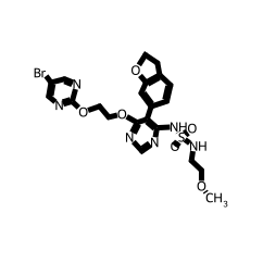 COCCNS(=O)(=O)Nc1ncnc(OCCOc2ncc(Br)cn2)c1-c1ccc2c(c1)OCC2